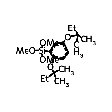 CCC(C)(C)Oc1ccc(OC(C)(C)CC)c([Si](OC)(OC)OC)c1